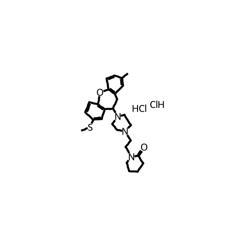 CSc1ccc2c(c1)C(N1CCN(CCN3CCCCC3=O)CC1)Cc1cc(C)ccc1O2.Cl.Cl